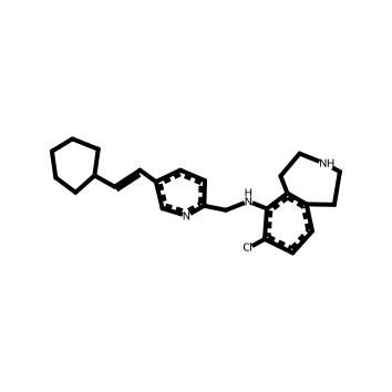 Clc1ccc2c(c1NCc1ccc(/C=C/C3CCCCC3)cn1)CCNCC2